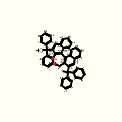 CC(c1ccccc1)(c1ccccc1)c1cc2ccccc2c2c1CNCc1c(C(O)(c3ccccc3)c3ccccc3)cc3ccccc3c1-2